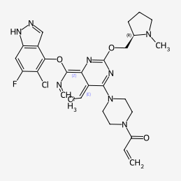 C=CC(=O)N1CCN(c2nc(OC[C@H]3CCCN3C)nc(=C(/N=C)Oc3c(Cl)c(F)cc4[nH]ncc34)/c2=C\C)CC1